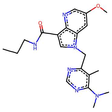 CCCNC(=O)c1cn(Cc2ncnc(N(C)C)c2C)c2cc(OC)cnc12